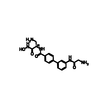 NCC(=O)Nc1cccc(-c2ccc(C(=O)N[C@@H](CN)C(=O)NO)cc2)c1